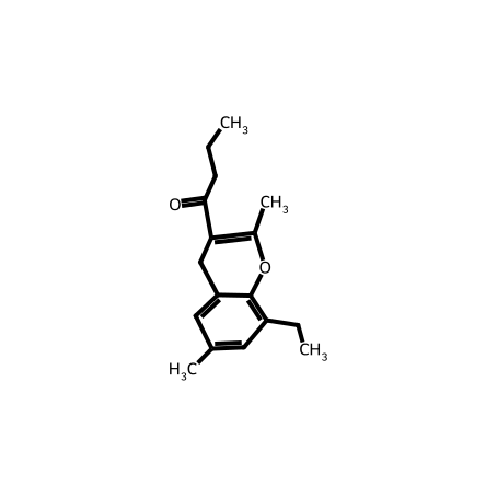 CCCC(=O)C1=C(C)Oc2c(CC)cc(C)cc2C1